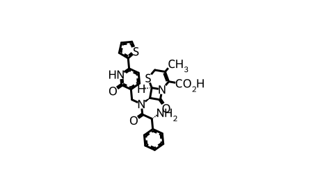 CC1=C(C(=O)O)N2C(=O)[C@@H](N(Cc3ccc(-c4cccs4)[nH]c3=O)C(=O)[C@H](N)c3ccccc3)[C@H]2SC1